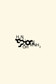 C=C1CC[C@@H]([C@H](CN)[C@H](CCCC)[C@@]2(C)Cc3cnc(N)nc3C[C@@H]2CO)C1